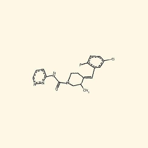 CC1CN(C(=O)Nc2cccnn2)CCC1=Cc1cc(Cl)ccc1F